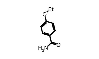 [CH2]COc1ccc(C(N)=O)cc1